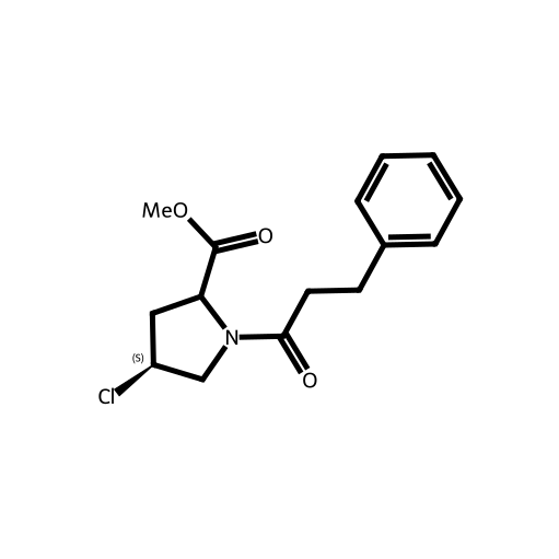 COC(=O)C1C[C@H](Cl)CN1C(=O)CCc1ccccc1